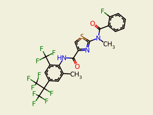 Cc1cc(C(F)(C(F)(F)F)C(F)(F)F)cc(C(F)(F)F)c1NC(=O)c1csc(N(C)C(=O)c2ccccc2F)n1